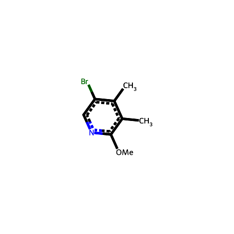 COc1ncc(Br)c(C)c1C